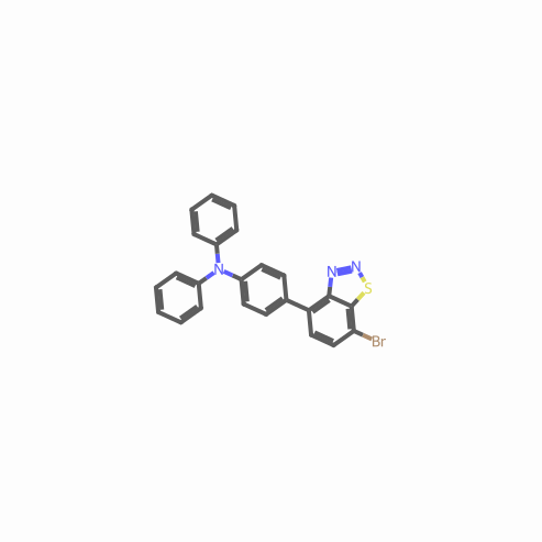 Brc1ccc(-c2ccc(N(c3ccccc3)c3ccccc3)cc2)c2nnsc12